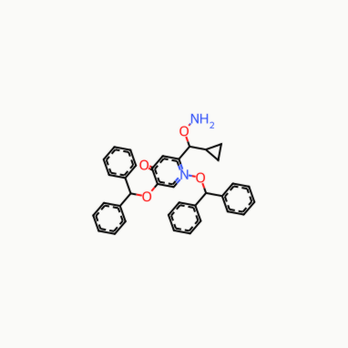 NOC(c1cc(=O)c(OC(c2ccccc2)c2ccccc2)cn1OC(c1ccccc1)c1ccccc1)C1CC1